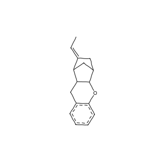 C/C=C1\CC2CC1C1Cc3ccccc3OC21